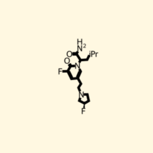 CC(C)CC(C(N)=O)n1cc(CCN2CC[C@@H](F)C2)cc(F)c1=O